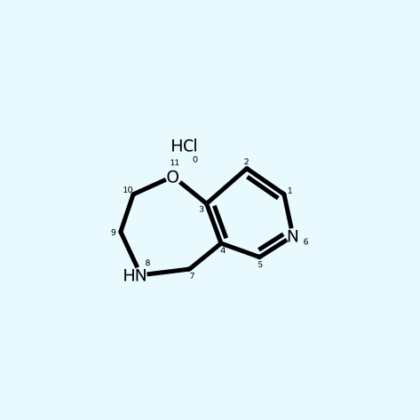 Cl.c1cc2c(cn1)CNCCO2